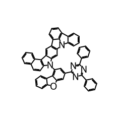 c1ccc(-c2nc(-c3ccccc3)nc(-c3cc(-n4c5cc6c(cc5c5c7ccccc7ccc54)c4cccc5c7ccccc7n6c54)c4c(c3)oc3ccccc34)n2)cc1